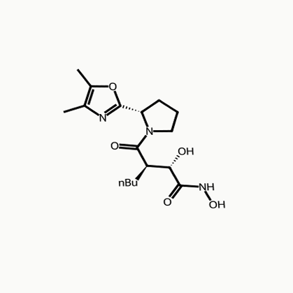 CCCC[C@@H](C(=O)N1CCC[C@H]1c1nc(C)c(C)o1)[C@H](O)C(=O)NO